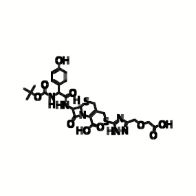 CC(C)(C)OC(=O)NC(C(=O)NC1C(=O)N2C(C(=O)O)=C(CSc3nc(COCC(=O)O)n[nH]3)CS[C@H]12)c1ccc(O)cc1